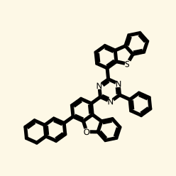 C1=Cc2cc(-c3ccc(-c4nc(-c5ccccc5)nc(-c5cccc6c5sc5ccccc56)n4)c4c3oc3ccccc34)ccc2CC1